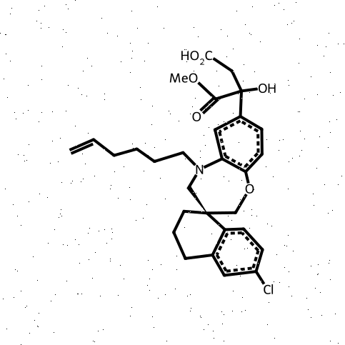 C=CCCCCN1C[C@@]2(CCCc3cc(Cl)ccc32)COc2ccc(C(O)(CC(=O)O)C(=O)OC)cc21